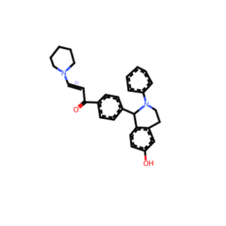 O=C(/C=C/N1CCCCC1)c1ccc(C2c3ccc(O)cc3CCN2c2ccccc2)cc1